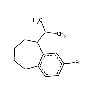 CC(C)C1CCCCc2ccc(Br)cc21